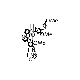 COCC1CN(Cc2cnc(C(=O)Nc3cccc(-c4nccc(-c5ccc(CNC[C@@H]6CCC(=O)N6)c(OC)n5)c4Cl)c3Cl)cc2OC)C1